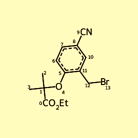 CCOC(=O)C(C)(C)Oc1ccc(C#N)cc1CBr